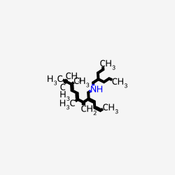 C=C(/C(C)=C/C=C(\C)C(C)(C)C)/C(=C\C=C/C)CNCC(CCC)CCC